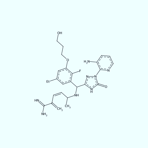 C=C(/C=C\C(C)NC(c1nn(-c2ncccc2N)c(=O)[nH]1)c1cc(CC)cc(OCCCO)c1F)C(=N)N